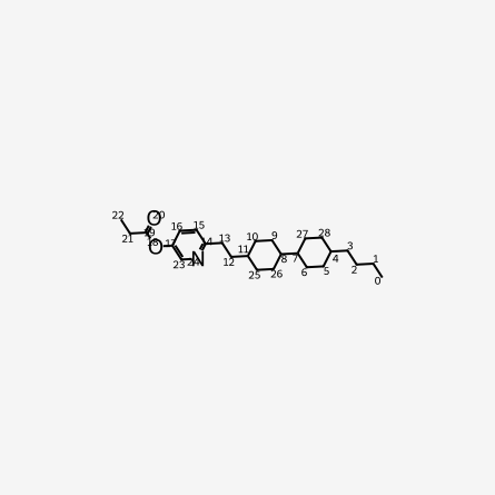 CCCCC1CCC(C2CCC(CCc3ccc(OC(=O)CC)cn3)CC2)CC1